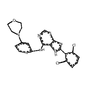 Clc1cccc(Cl)c1-c1nc2ncnc(Nc3cc(N4CCOCC4)ccn3)c2[nH]1